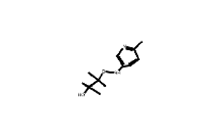 Cc1ccc(BOC(C)(C)C(C)(C)O)cn1